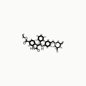 CCOC(=O)c1ccc2c(c1)NC(=O)/C2=C(\Nc1ccc(CN2CC(C)CC(C)C2)cc1)c1ccccc1